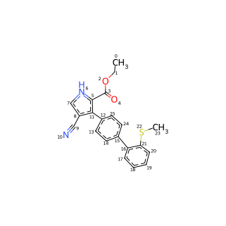 CCOC(=O)c1[nH]cc(C#N)c1-c1ccc(-c2ccccc2SC)cc1